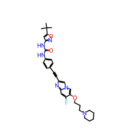 CC(C)(C)c1cc(NC(=O)Nc2ccc(C#Cc3cn4cc(OCCCN5CCCCC5)c(F)cc4n3)cc2)no1